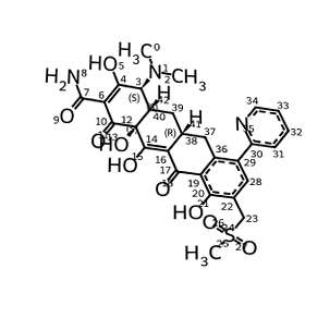 CN(C)[C@@H]1C(O)=C(C(N)=O)C(=O)[C@@]2(O)C(O)=C3C(=O)c4c(O)c(CS(C)(=O)=O)cc(-c5ccccn5)c4C[C@H]3C[C@@H]12